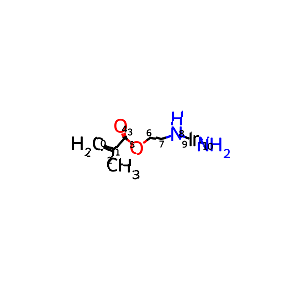 C=C(C)C(=O)OCC[NH][Ir][NH2]